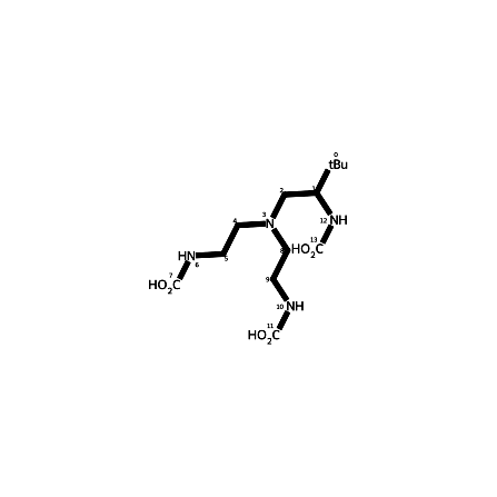 CC(C)(C)C(CN(CCNC(=O)O)CCNC(=O)O)NC(=O)O